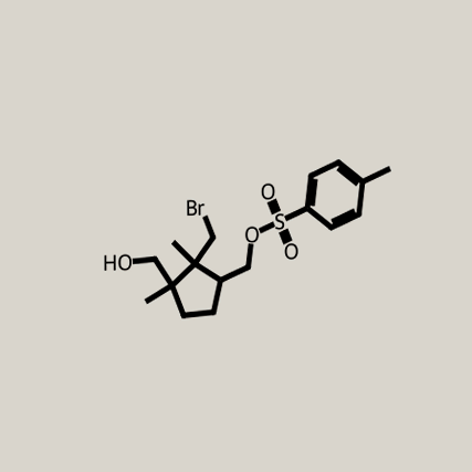 Cc1ccc(S(=O)(=O)OCC2CCC(C)(CO)C2(C)CBr)cc1